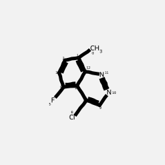 Cc1ccc(F)c2c(Cl)cnnc12